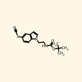 CC(C)(C)OC(=O)NCCn1ccc2cc(SC#N)ccc21